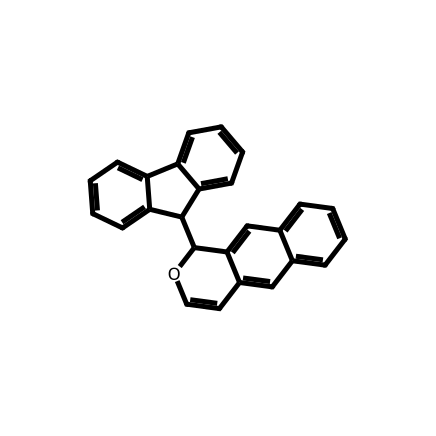 C1=Cc2cc3ccccc3cc2C(C2c3ccccc3-c3ccccc32)O1